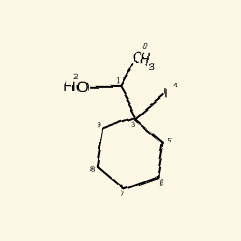 CC(O)C1(I)CCCCC1